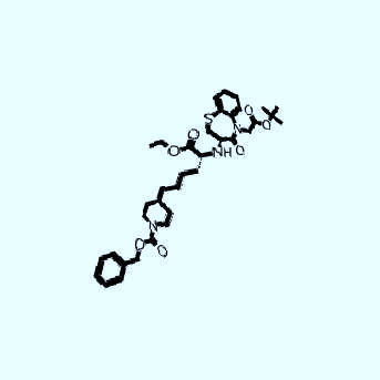 CCOC(=O)[C@@H](CCCCC1CCN(C(=O)OCc2ccccc2)CC1)N[C@H]1CSc2ccccc2N(CC(=O)OC(C)(C)C)C1=O